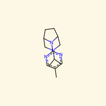 Cc1cnc(N2C3CCC2CN(C(C)C)C3)nc1